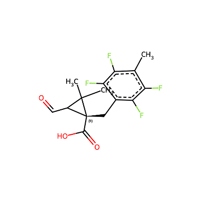 Cc1c(F)c(F)c(C[C@@]2(C(=O)O)C(C=O)C2(C)C)c(F)c1F